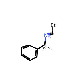 CC/C=N/[C@H](C)c1ccccc1